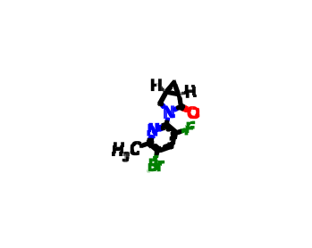 Cc1nc(N2C[C@H]3C[C@H]3C2=O)c(F)cc1Br